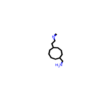 C=NCCC1CCCCC(CN)CCC1